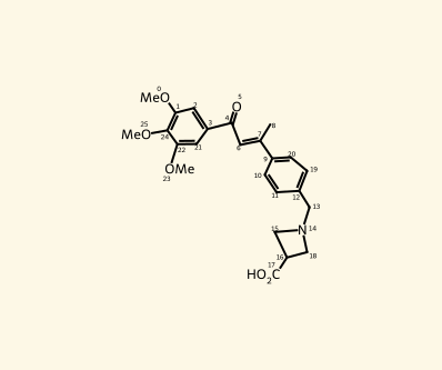 COc1cc(C(=O)/C=C(\C)c2ccc(CN3CC(C(=O)O)C3)cc2)cc(OC)c1OC